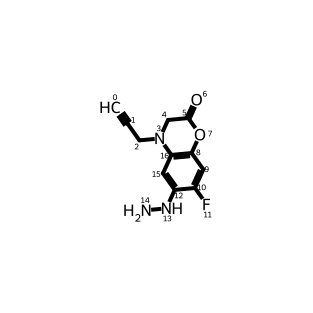 C#CCN1CC(=O)Oc2cc(F)c(NN)cc21